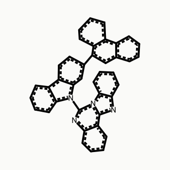 c1ccc2c(c1)cc(-c1ccc3c4ccccc4n(-c4nc5ccccc5c5nc6ccccc6n45)c3c1)c1ccccc12